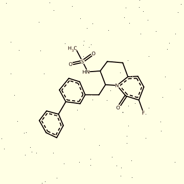 CS(=O)(=O)NC1CCc2ccc(F)c(=O)n2C1Cc1cccc(-c2ccccc2)c1